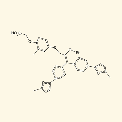 CCOC(CSc1ccc(OCC(=O)O)c(C)c1)=C(c1ccc(-c2ccc(C)o2)cc1)c1ccc(-c2ccc(C)o2)cc1